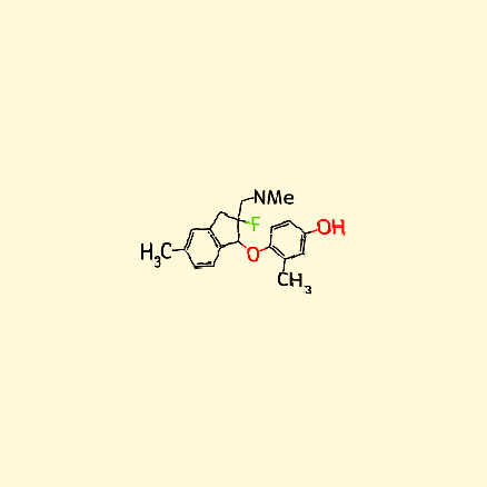 CNCC1(F)Cc2cc(C)ccc2C1Oc1ccc(O)cc1C